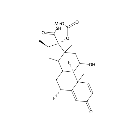 COC(=O)O[C@@]1(C(=O)S)[C@H](C)CC2C3C[C@@H](F)C4=CC(=O)C=CC4(C)[C@]3(F)C(O)CC21C